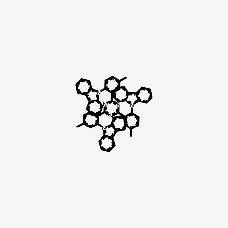 Cc1ccc(-n2c3ccccc3c3ccccc32)c(-c2nc(-c3cc(C)ccc3-n3c4ccccc4c4ccccc43)nc(-c3ccc(C)cc3-n3c4ccccc4c4ccccc43)n2)c1